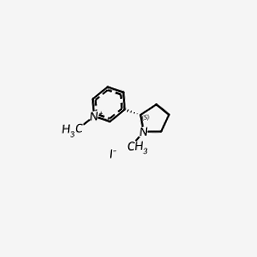 CN1CCC[C@H]1c1ccc[n+](C)c1.[I-]